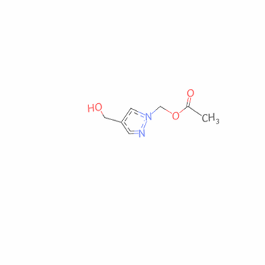 CC(=O)OCn1cc(CO)cn1